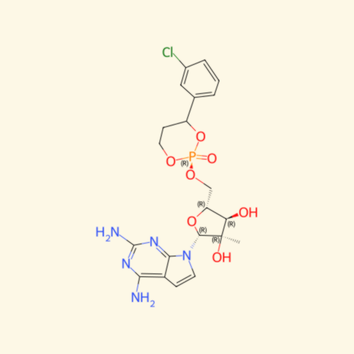 C[C@@]1(O)[C@H](O)[C@@H](CO[P@@]2(=O)OCCC(c3cccc(Cl)c3)O2)O[C@H]1n1ccc2c(N)nc(N)nc21